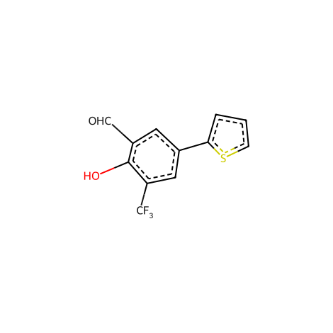 O=Cc1cc(-c2cccs2)cc(C(F)(F)F)c1O